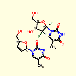 Cc1cn([C@H]2C=C[C@@H](CO)O2)c(=O)[nH]c1=O.Cc1cn([C@]2(F)O[C@H](CO)[C@@H](O)C2(F)F)c(=O)[nH]c1=O